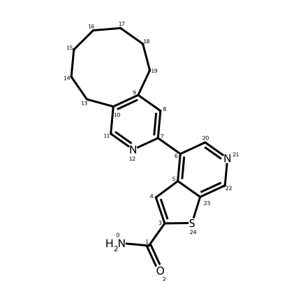 NC(=O)c1cc2c(-c3cc4c(cn3)CCCCCCC4)cncc2s1